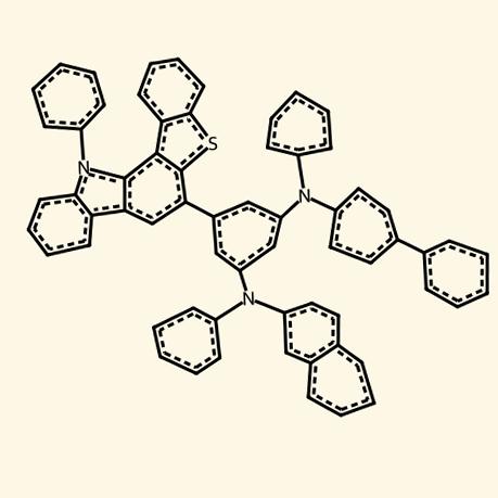 c1ccc(-c2ccc(N(c3ccccc3)c3cc(-c4cc5c6ccccc6n(-c6ccccc6)c5c5c4sc4ccccc45)cc(N(c4ccccc4)c4ccc5ccccc5c4)c3)cc2)cc1